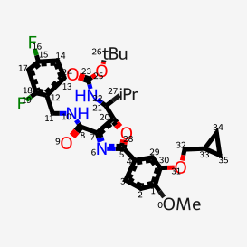 COc1ccc(-c2nc(C(=O)NCc3ccc(F)cc3F)c(C(NC(=O)OC(C)(C)C)C(C)C)o2)cc1OCC1CC1